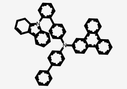 C1=Cc2c(n(-c3ccccc3-c3ccc(N(c4ccc(-c5ccccc5)cc4)c4ccc5c6ccccc6c6ccccc6c5c4)cc3)c3ccccc23)CC1